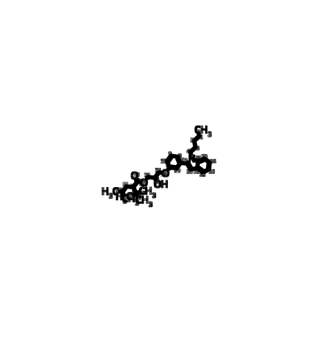 CCCCCn1c(-c2cccc(OCC(O)COC(=O)C(CC(C)C)C(C)(C)C)c2)cc2ccccc21